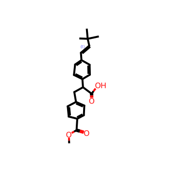 COC(=O)c1ccc(CC(C(=O)O)c2ccc(/C=C/C(C)(C)C)cc2)cc1